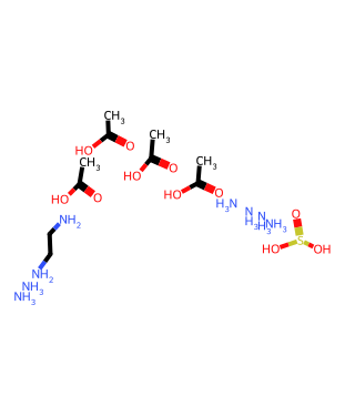 CC(=O)O.CC(=O)O.CC(=O)O.CC(=O)O.N.N.N.N.N.N.NCCN.O=S(O)O